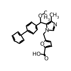 COC(c1ccc(-c2ccccc2)cc1)c1c(C)ncn1Cc1ccc(C(=O)O)o1